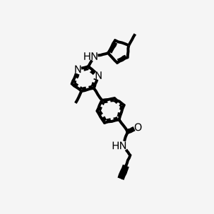 C#CCNC(=O)c1ccc(-c2nc(NC3=CC(C)C=C3)ncc2C)cc1